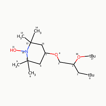 CC(C)(C)CC(COC1CC(C)(C)N(O)C(C)(C)C1)OC(C)(C)C